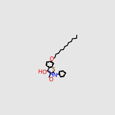 CCCCCCCCCCCCOc1ccc(/C(O)=C(/C=O)C(=S)Nc2ccccc2)cc1